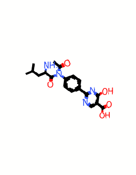 CC(=O)N(C(=O)C(N)CC(C)C)c1ccc(-c2ncc(C(=O)O)c(O)n2)cc1